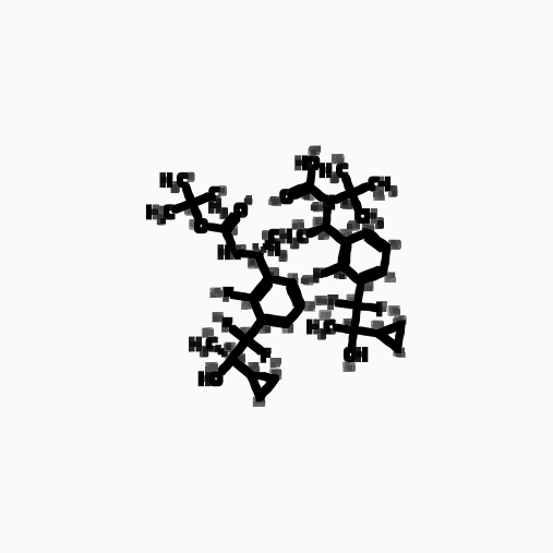 C[C@@H](NC(=O)OC(C)(C)C)c1cccc(C(F)(F)[C@](C)(O)C2CC2)c1F.C[C@H](c1cccc(C(F)(F)C(C)(O)C2CC2)c1F)N(C(=O)O)C(C)(C)C